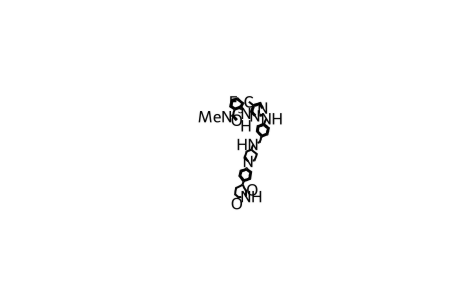 CNC(=O)c1ccccc1Nc1nc(Nc2ccc(CNC3CCN(c4ccc(C5CCC(=O)NC5=O)cc4)CC3)cc2)ncc1C(F)(F)F